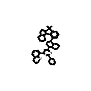 CC1(C)c2cccc(-c3ccc(-c4cc(-c5cccc6cccnc56)nc(-c5ccccc5)n4)c4ccccc34)c2-c2c1ccc1ccccc21